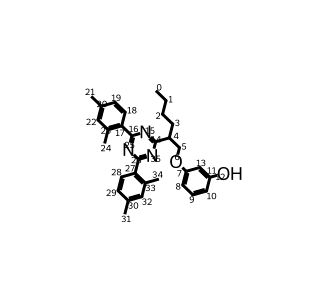 CCCCC(COc1cccc(O)c1)c1nc(-c2ccc(C)cc2C)nc(-c2ccc(C)cc2C)n1